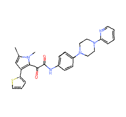 Cc1cc(-c2cccs2)c(C(=O)C(=O)Nc2ccc(N3CCN(c4ccccn4)CC3)cc2)n1C